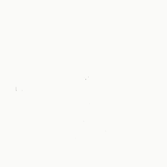 C=Cc1cc[n+](Cc2ccccc2)cc1.Cc1ccc(S(=O)(=O)[O-])cc1